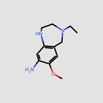 CCN1CCNc2cc(N)c(OC)cc2C1